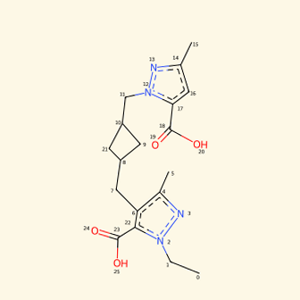 CCn1nc(C)c(CC2CC(Cn3nc(C)cc3C(=O)O)C2)c1C(=O)O